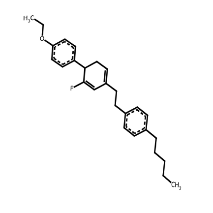 CCCCCc1ccc(CCC2=CCC(c3ccc(OCC)cc3)C(F)=C2)cc1